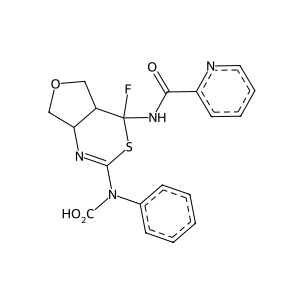 O=C(NC1(F)SC(N(C(=O)O)c2ccccc2)=NC2COCC21)c1ccccn1